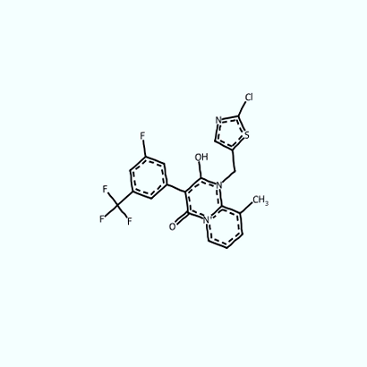 Cc1ccc[n+]2c(=O)c(-c3cc(F)cc(C(F)(F)F)c3)c(O)n(Cc3cnc(Cl)s3)c12